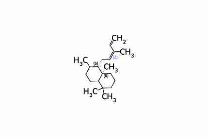 C=C/C(C)=C\C[C@H]1C(C)CCC2C(C)(C)CCC[C@@]21C